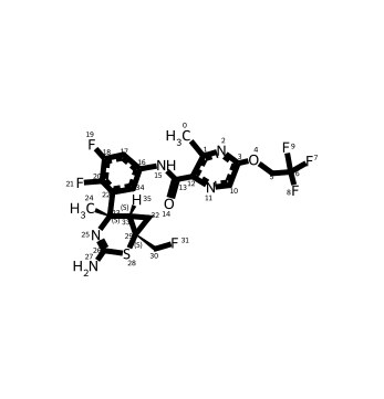 Cc1nc(OCC(F)(F)F)cnc1C(=O)Nc1cc(F)c(F)c([C@@]2(C)N=C(N)S[C@@]3(CF)C[C@H]32)c1